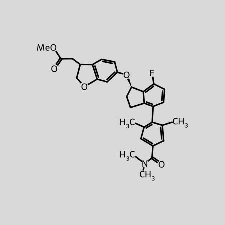 COC(=O)CC1COc2cc(O[C@@H]3CCc4c(-c5c(C)cc(C(=O)N(C)C)cc5C)ccc(F)c43)ccc21